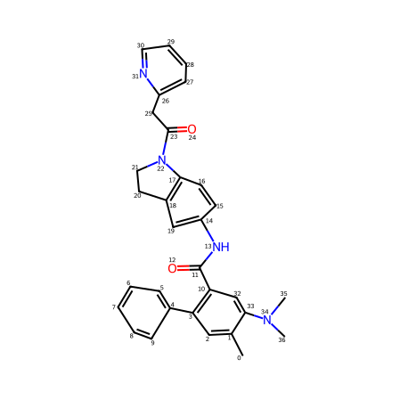 Cc1cc(-c2ccccc2)c(C(=O)Nc2ccc3c(c2)CCN3C(=O)Cc2ccccn2)cc1N(C)C